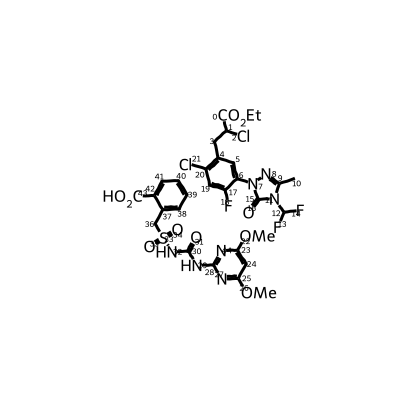 CCOC(=O)C(Cl)Cc1cc(-n2nc(C)n(C(F)F)c2=O)c(F)cc1Cl.COc1cc(OC)nc(NC(=O)NS(=O)(=O)Cc2ccccc2C(=O)O)n1